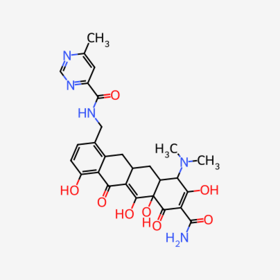 Cc1cc(C(=O)NCc2ccc(O)c3c2CC2CC4C(N(C)C)C(O)=C(C(N)=O)C(=O)C4(O)C(O)=C2C3=O)ncn1